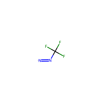 [N]=NC(F)(F)F